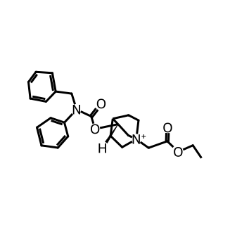 CCOC(=O)C[N+]12CCC(CC1)[C@@H](OC(=O)N(Cc1ccccc1)c1ccccc1)C2